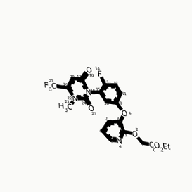 CCOC(=O)COc1ncccc1Oc1ccc(F)c(-n2c(=O)cc(C(F)(F)F)n(C)c2=O)c1